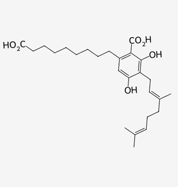 CC(C)=CCC/C(C)=C/Cc1c(O)cc(CCCCCCCCC(=O)O)c(C(=O)O)c1O